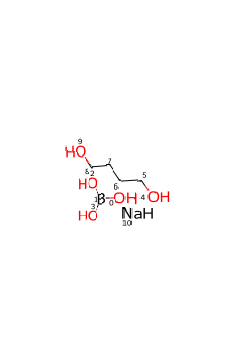 OB(O)O.OCCCCO.[NaH]